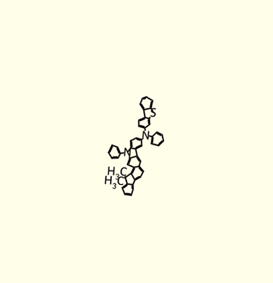 CC1(C)c2ccccc2-c2ccc3cc4c5cc(N(c6ccccc6)c6ccc7c(c6)sc6ccccc67)ccc5n(-c5ccccc5)c4cc3c21